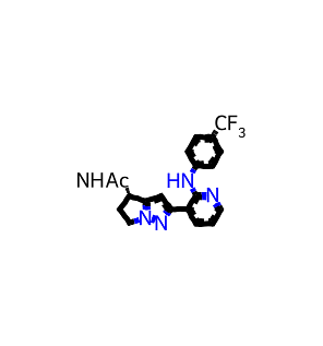 CC(=O)N[C@@H]1CCn2nc(-c3cccnc3Nc3ccc(C(F)(F)F)cc3)cc21